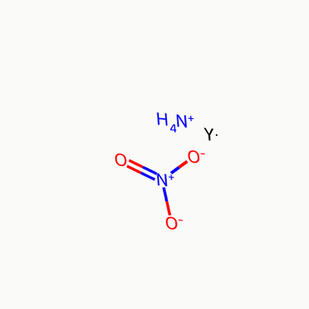 O=[N+]([O-])[O-].[NH4+].[Y]